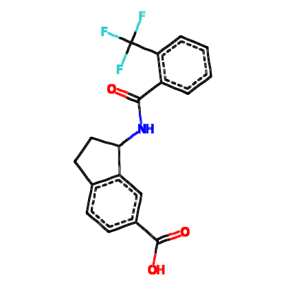 O=C(O)c1ccc2c(c1)C(NC(=O)c1ccccc1C(F)(F)F)CC2